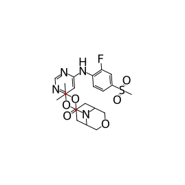 CC(C)OC(=O)N1C2COCC1CC(Oc1cc(Nc3ccc(S(C)(=O)=O)cc3F)ncn1)C2